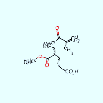 C=C(C)C(=O)OC.CCC=C(C=CC(=O)O)C(=O)OCCCCCC